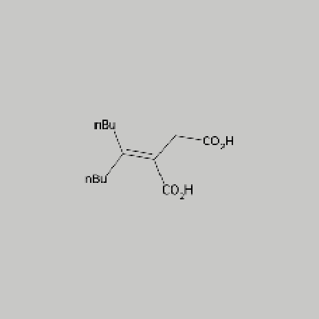 CCCCC(CCCC)=C(CC(=O)O)C(=O)O